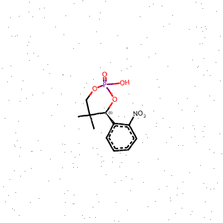 CC1(C)COP(=O)(O)O[C@H]1c1ccccc1[N+](=O)[O-]